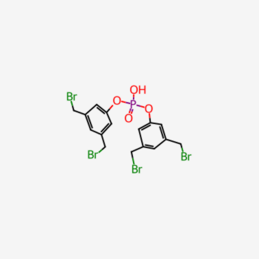 O=P(O)(Oc1cc(CBr)cc(CBr)c1)Oc1cc(CBr)cc(CBr)c1